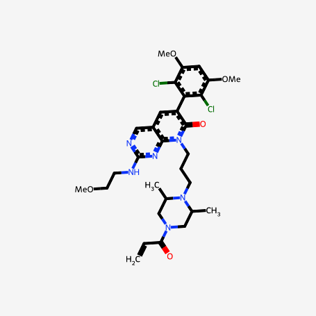 C=CC(=O)N1CC(C)N(CCCn2c(=O)c(-c3c(Cl)c(OC)cc(OC)c3Cl)cc3cnc(NCCOC)nc32)C(C)C1